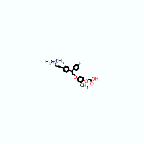 Cc1cc(OCC=C(c2ccc(F)cc2)c2ccc(C#CCN(C)C)cc2)ccc1OCC(=O)O